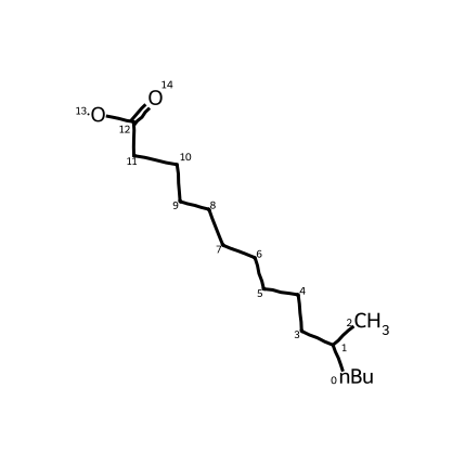 CCCCC(C)CCCCCCCCCC([O])=O